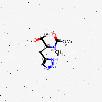 CCC(=O)[C@H](Cc1cnn[nH]1)N(C)C(=O)OC